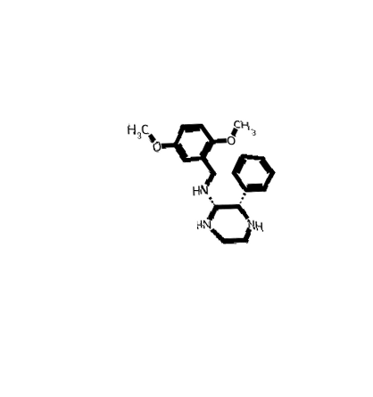 COc1ccc(OC)c(CN[C@H]2NCCN[C@H]2c2ccccc2)c1